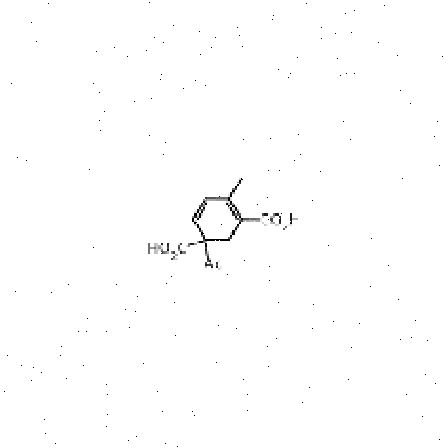 CC(=O)C1(C(=O)O)C=CC(C)=C(C(=O)O)C1